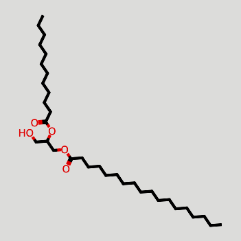 CCCCCCCCCCCCCCCCCC(=O)OCC(CO)OC(=O)CCCCCCCCCCC